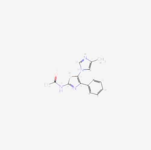 CCC(=O)Nc1nc(-c2ccccc2)c(-n2cnc(C)c2)s1